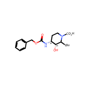 CC(C)(C)C1[C@H](O)[C@H](NC(=O)OCc2ccccc2)CCN1C(=O)O